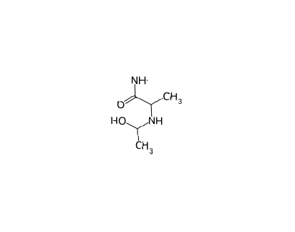 CC(O)NC(C)C([NH])=O